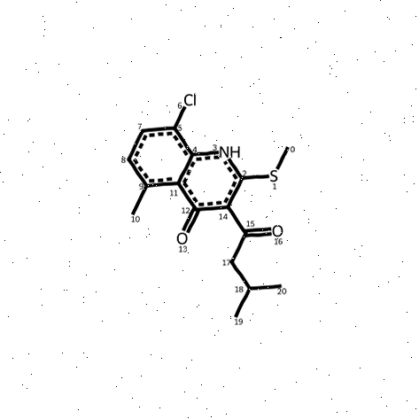 CSc1[nH]c2c(Cl)ccc(C)c2c(=O)c1C(=O)CC(C)C